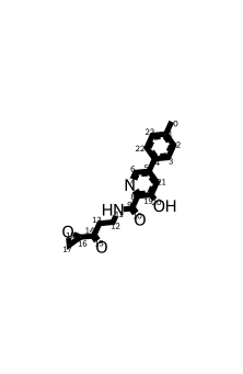 Cc1ccc(-c2cnc(C(=O)NCCC(=O)C3CO3)c(O)c2)cc1